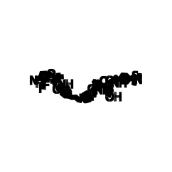 Cc1ncsc1-c1ccc(C(C)NC(=O)[C@@H]2C[C@@H](O)CN2C(=O)[C@@H](NC(=O)CN2CCN(CCCc3ccc(C(=O)N[C@H]4C(C)(C)[C@H](Oc5ccc(C#N)c(C(F)(F)F)c5)C4(C)C)cc3)CC2)C(C)(C)C)cc1